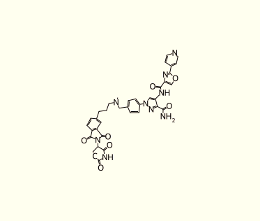 CN(CCCc1ccc2c(c1)C(=O)N(C1CCC(=O)NC1=O)C2=O)Cc1ccc(-n2cc(NC(=O)c3coc(-c4ccncc4)n3)c(C(N)=O)n2)cc1